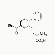 CCC(C)C(=O)c1ccc(-c2ccccc2)c(CCC(C)C(=O)O)c1